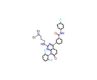 CCN(CC)CCCNc1nc(-c2cccc(C(=O)Nc3ccc(F)cc3)c2)c2ccc(=O)n(-c3c(F)cccc3F)c2n1